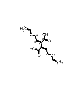 C=COCC=C(C(=O)O)C(=CCOC=C)C(=O)O